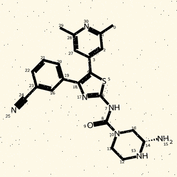 Cc1cc(-c2sc(NC(=O)N3CCN[C@@H](N)C3)nc2-c2cccc(C#N)c2)cc(C)n1